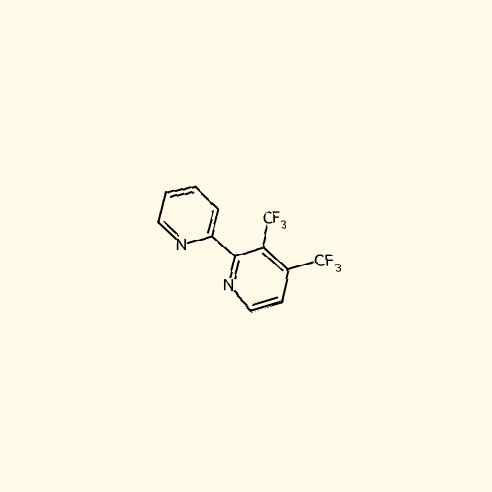 FC(F)(F)c1ccnc(-c2ccccn2)c1C(F)(F)F